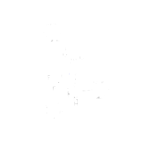 O=C(/C=C/c1c(-c2ccccc2)[nH]c(-c2ccccc2)c1C(F)(F)F)OCc1ccccc1